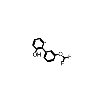 Oc1ccc[c]c1-c1cccc(OC(F)F)c1